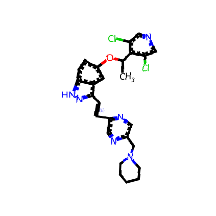 CC(Oc1ccc2[nH]nc(/C=C/c3cnc(CN4CCCCC4)cn3)c2c1)c1c(Cl)cncc1Cl